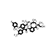 Cc1cc(F)ccc1Oc1ccc(CN(C)C[C@H]2Oc3c(NC(=O)Cc4ccc(C(F)(F)F)cc4)cccc3C(=O)N([C@@H](C)CO)C[C@H]2C)cc1